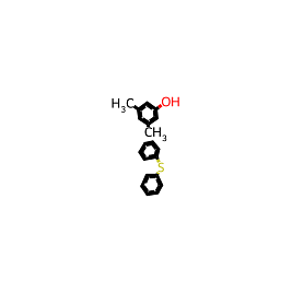 Cc1cc(C)cc(O)c1.c1ccc(Sc2ccccc2)cc1